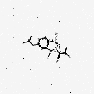 CC(C)Cc1ccc([N+](=O)[O-])c(C(C)OC(=O)C(C)C)c1